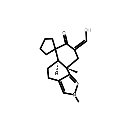 Cn1cc2c(n1)[C@@]1(C)C/C(=C/O)C(=O)C3(CCCC3)[C@@H]1CC2